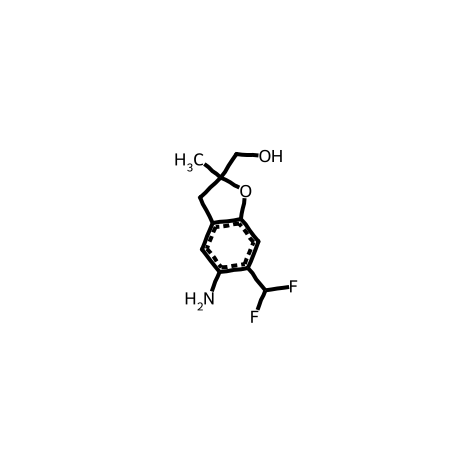 CC1(CO)Cc2cc(N)c(C(F)F)cc2O1